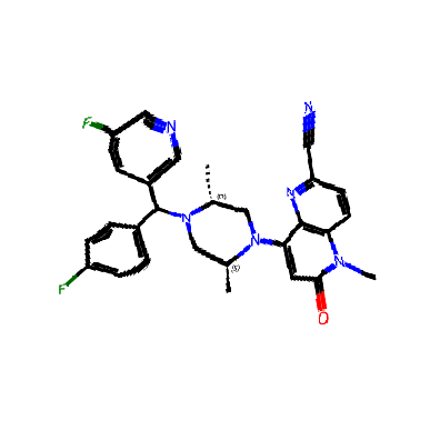 C[C@@H]1CN(c2cc(=O)n(C)c3ccc(C#N)nc23)[C@@H](C)CN1C(c1ccc(F)cc1)c1cncc(F)c1